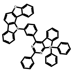 c1ccc(-c2nc(-c3cccc(-n4c5ccccc5c5ccc6oc7ccccc7c6c54)c3)c3c(n2)[Si](c2ccccc2)(c2ccccc2)c2ccccc2-3)cc1